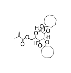 C=C(C)C(=O)OC[C@H]1O[C@@H]2OC3(CCCCCCC3)O[C@H]2[C@H]2OC3(CCCCCCC3)O[C@@H]21